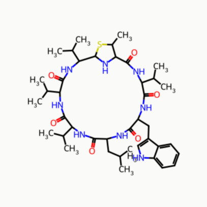 CC(C)CC1NC(=O)C(Cc2c[nH]c3ccccc23)NC(=O)C(C(C)C)NC(=O)C2NC(SC2C)C(C(C)C)NC(=O)C(C(C)C)NC(=O)C(C(C)C)NC1=O